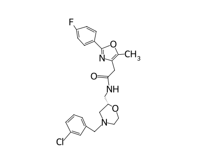 Cc1oc(-c2ccc(F)cc2)nc1CC(=O)NC[C@H]1CN(Cc2cccc(Cl)c2)CCO1